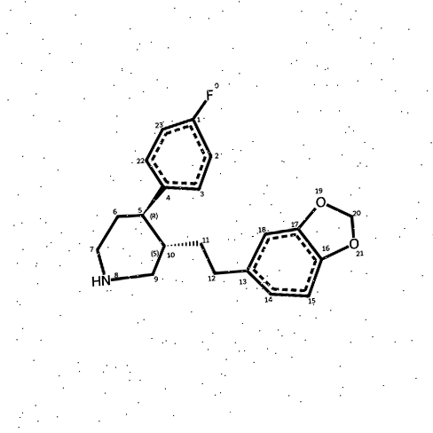 Fc1ccc([C@@H]2CCNC[C@H]2CCc2ccc3c(c2)OCO3)cc1